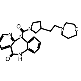 O=C1Nc2ccccc2N(C(=O)N2CCC(CCN3CCCCCC3)C2)c2ncccc21